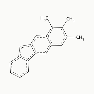 Cc1cc2cc3c(cc4ccccc43)cc2n(C)c1C